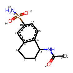 CCC(=O)NC1CCCc2cc(S(N)(=O)=O)ccc21